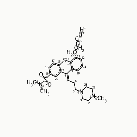 CN1CCN(CC/C=C2\c3ccccc3Sc3ccc(S(=O)(=O)N(C)C)cc32)CC1.O.O.[Cl-].[Cl-].[H+].[H+]